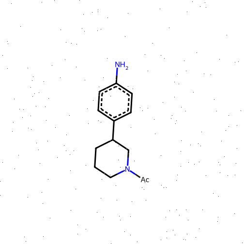 CC(=O)N1CCCC(c2ccc(N)cc2)C1